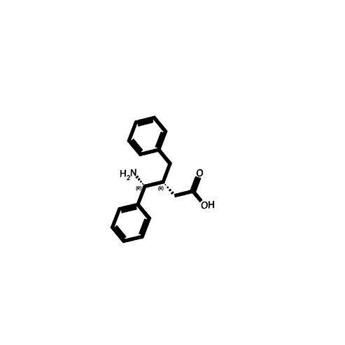 N[C@@H](c1ccccc1)[C@@H](CC(=O)O)Cc1ccccc1